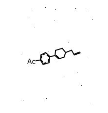 C=CCC1CC=C(c2ccc(C(C)=O)cc2)CC1